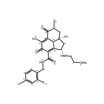 CCN1C[C@H]2C[C@H](NCCOC)c3c(C(=O)NCc4ccc(F)cc4F)c(=O)c(O)c(n32)C1=O